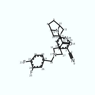 N#Cc1ccc(N2C3CCC2CN(C(=O)C2CN(Cc4ccc(F)c(F)c4)C2)C3)nc1